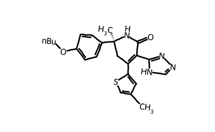 CCCCOc1ccc([C@]2(C)CC(c3cc(C)cs3)=C(c3nnc[nH]3)C(=O)N2)cc1